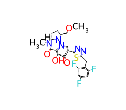 COC[C@@H]1CC[C@H]2N(C)C(=O)c3c(O)c(=O)c(-c4nnc(Cc5c(F)cc(F)cc5F)s4)cn3N12